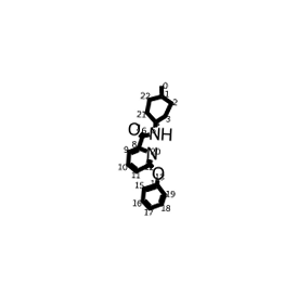 CC1CCC(NC(=O)c2cccc(Oc3ccccc3)n2)CC1